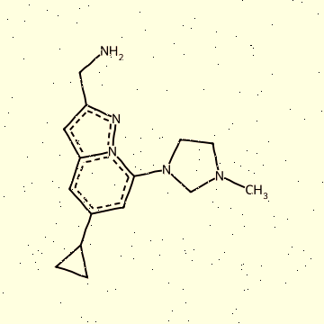 CN1CCN(c2cc(C3CC3)cc3cc(CN)nn23)C1